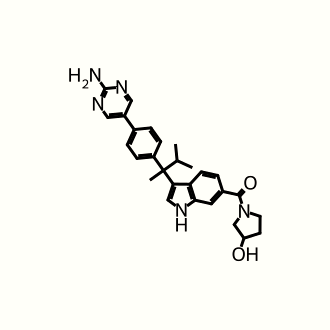 CC(C)C(C)(c1ccc(-c2cnc(N)nc2)cc1)c1c[nH]c2cc(C(=O)N3CCC(O)C3)ccc12